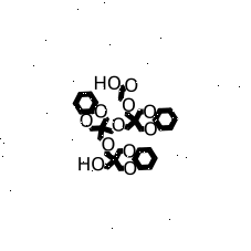 O=C(O)COCC1(COCC2(COCC3(CO)COC4(CCCCC4)OC3)COC3(CCCCC3)OC2)COC2(CCCCC2)OC1